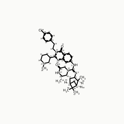 C[C@@H]1C(/N=C(/Nc2ccc3c(=O)n(CCc4ccc(Cl)cc4)c(C4CCCN(C)C4)nc3c2)N2CC(=O)N[C@@H](C)C2)C[C@H]2C[C@@H]1C2(C)C